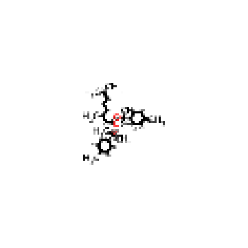 CC(C)=CCC[C@H](C)CC(OC(C)(C)[C@H]1CC=C(C)CC1)OC(C)(C)[C@H]1CC=C(C)CC1